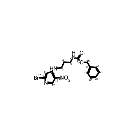 O=C(NCCCNc1cc(Br)ncc1[N+](=O)[O-])OCc1ccccc1